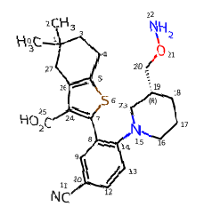 CC1(C)CCc2sc(-c3cc(C#N)ccc3N3CCC[C@@H](CON)C3)c(C(=O)O)c2C1